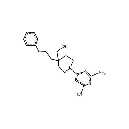 Nc1cc(N2CCC(CO)(CCCc3ccccc3)CC2)nc(N)n1